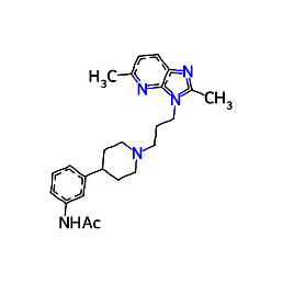 CC(=O)Nc1cccc(C2CCN(CCCn3c(C)nc4ccc(C)nc43)CC2)c1